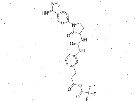 N=C(N)c1ccc(N2CCC(NC(=O)Nc3cccc(CCC(=O)OC(=O)C(F)(F)F)c3)C2=O)cc1